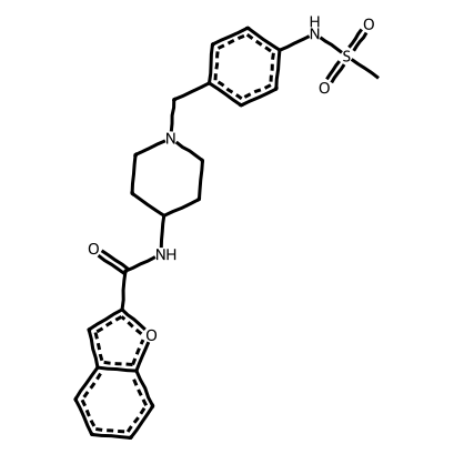 CS(=O)(=O)Nc1ccc(CN2CCC(NC(=O)c3cc4ccccc4o3)CC2)cc1